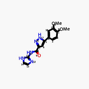 COc1ccc(-c2cc(C(=O)Nc3ncc[nH]3)n[nH]2)cc1OC